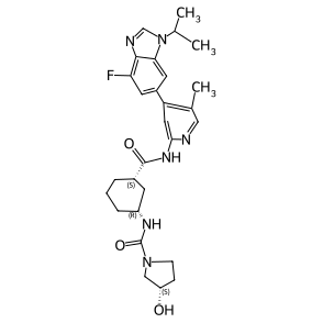 Cc1cnc(NC(=O)[C@H]2CCC[C@@H](NC(=O)N3CC[C@H](O)C3)C2)cc1-c1cc(F)c2ncn(C(C)C)c2c1